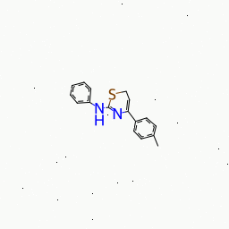 Cc1ccc(C2=CCSC(Nc3ccccc3)=N2)cc1